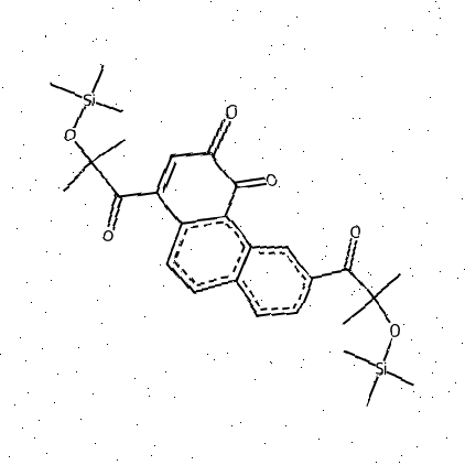 CC(C)(O[Si](C)(C)C)C(=O)C1=CC(=O)C(=O)c2c1ccc1ccc(C(=O)C(C)(C)O[Si](C)(C)C)cc21